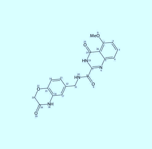 COc1cccc2nc(C(=O)NCc3ccc4c(c3)NC(=O)CO4)[nH]c(=O)c12